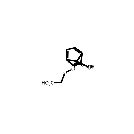 CC1=CC2=CC=C1C2(OOCC(=O)O)C(=O)O